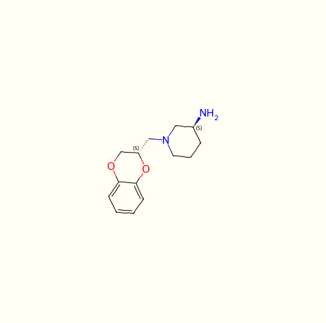 N[C@H]1CCCN(C[C@H]2COc3ccccc3O2)C1